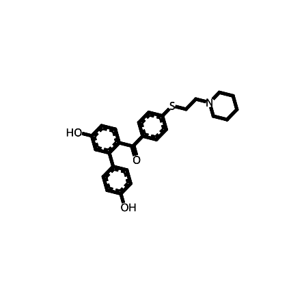 O=C(c1ccc(SCCN2CCCCC2)cc1)c1ccc(O)cc1-c1ccc(O)cc1